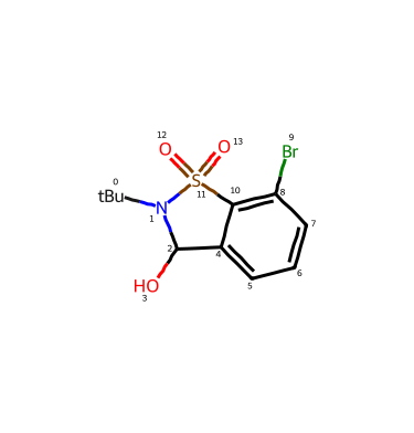 CC(C)(C)N1C(O)c2cccc(Br)c2S1(=O)=O